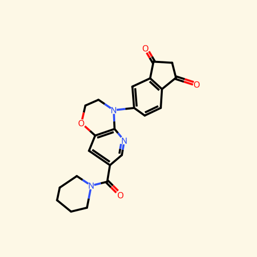 O=C1CC(=O)c2cc(N3CCOc4cc(C(=O)N5CCCCC5)cnc43)ccc21